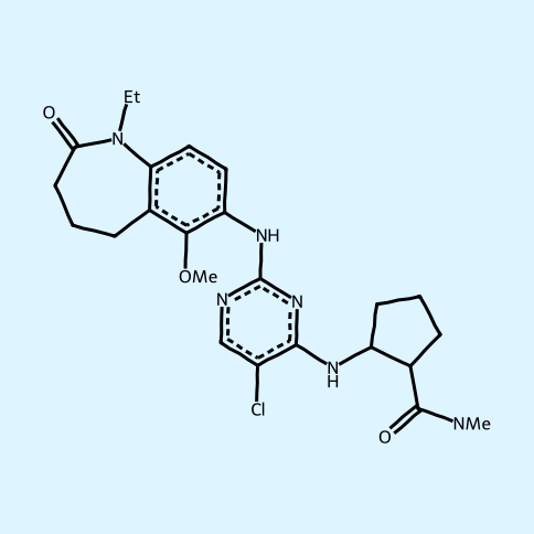 CCN1C(=O)CCCc2c1ccc(Nc1ncc(Cl)c(NC3CCCC3C(=O)NC)n1)c2OC